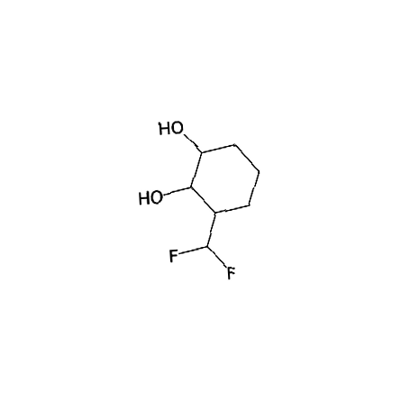 OC1CCCC(C(F)F)C1O